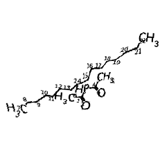 CC(=O)PC(C)=O.CCCCCCCCCCCCCCCC